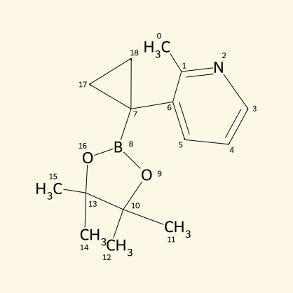 Cc1ncccc1C1(B2OC(C)(C)C(C)(C)O2)CC1